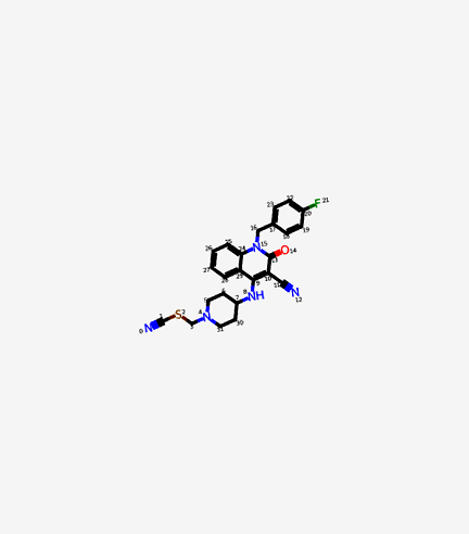 N#CSCN1CCC(Nc2c(C#N)c(=O)n(Cc3ccc(F)cc3)c3ccccc23)CC1